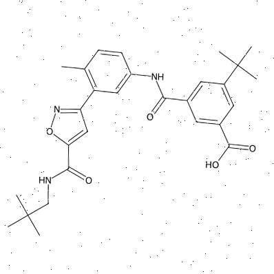 Cc1ccc(NC(=O)c2cc(C(=O)O)cc(C(C)(C)C)c2)cc1-c1cc(C(=O)NCC(C)(C)C)on1